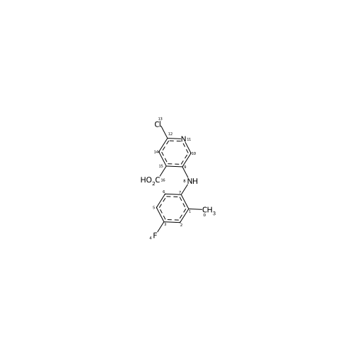 Cc1cc(F)ccc1Nc1cnc(Cl)cc1C(=O)O